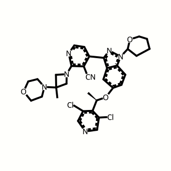 C[C@@H](Oc1ccc2c(c1)c(-c1ccnc(N3CC(C)(N4CCOCC4)C3)c1C#N)nn2C1CCCCO1)c1c(Cl)cncc1Cl